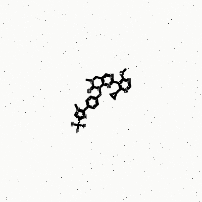 COc1ncnc(C2CC2)c1-c1ncc2c(n1)N(Cc1ccc(-c3nc(C(F)(F)F)cn3C)cc1)C(=O)N(C)C2